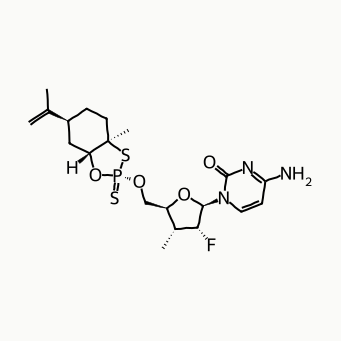 C=C(C)[C@H]1CC[C@@]2(C)S[P@](=S)(OC[C@H]3O[C@@H](n4ccc(N)nc4=O)[C@H](F)[C@@H]3C)O[C@@H]2C1